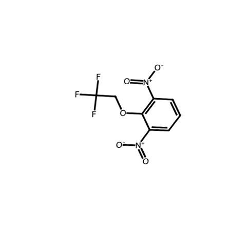 O=[N+]([O-])c1cccc([N+](=O)[O-])c1OCC(F)(F)F